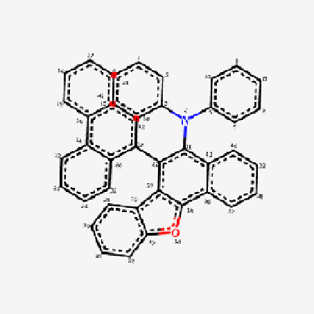 c1ccc(N(c2ccccc2)c2c(-c3cc4ccccc4c4ccccc34)c3c4ccccc4oc3c3ccccc23)cc1